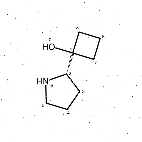 OC1([C@@H]2CCCN2)CCC1